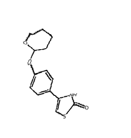 O=c1[nH]c(-c2ccc(OC3CCCCO3)cc2)cs1